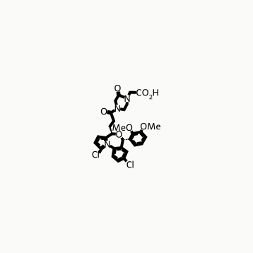 COc1cccc([C@H]2O[C@H](CCC(=O)N3CCN(CC(=O)O)C(=O)C3)c3ccc(Cl)n3-c3ccc(Cl)cc32)c1OC